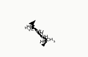 CC(CCNCCCNCCC(C)NCC1CC1)NCC1CC1